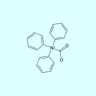 O=C([O-])[N+](c1ccccc1)(c1ccccc1)c1ccccc1